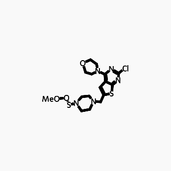 COOSN1CCN(Cc2cc3c(N4CCOCC4)nc(Cl)nc3s2)CC1